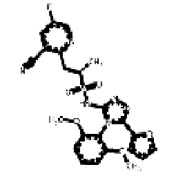 COc1cccc(OC)c1-n1c(NS(=O)(=O)[C@H](C)Cc2ncc(F)cc2C#N)nnc1-c1ccco1